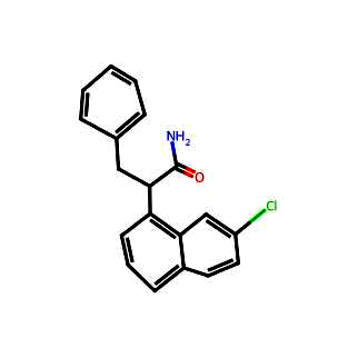 NC(=O)C(Cc1ccccc1)c1cccc2ccc(Cl)cc12